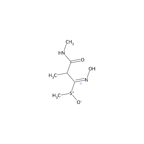 CNC(=O)C(C)/C(=N\O)[S+](C)[O-]